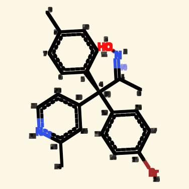 C/C(=N/O)[C@](c1ccc(C)cc1)(c1ccc(Br)cc1)c1ccnc(C)c1